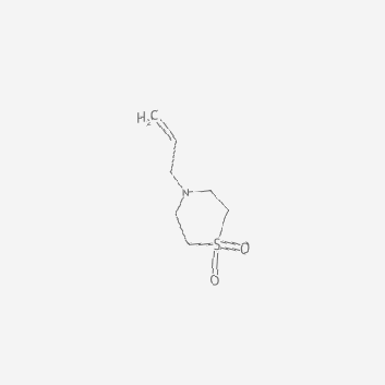 C=CCN1CCS(=O)(=O)CC1